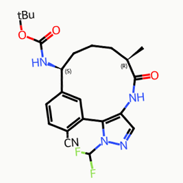 C[C@@H]1CCC[C@H](NC(=O)OC(C)(C)C)c2ccc(C#N)c(c2)-c2c(cnn2C(F)F)NC1=O